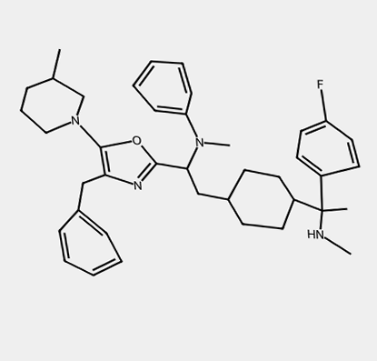 CNC(C)(c1ccc(F)cc1)C1CCC(CC(c2nc(Cc3ccccc3)c(N3CCCC(C)C3)o2)N(C)c2ccccc2)CC1